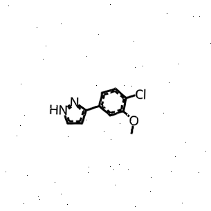 COc1cc(-c2cc[nH]n2)ccc1Cl